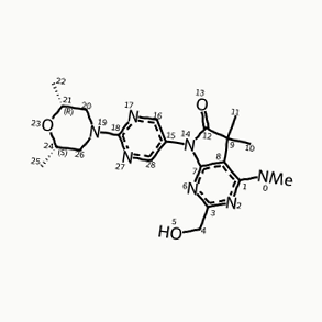 CNc1nc(CO)nc2c1C(C)(C)C(=O)N2c1cnc(N2C[C@@H](C)O[C@@H](C)C2)nc1